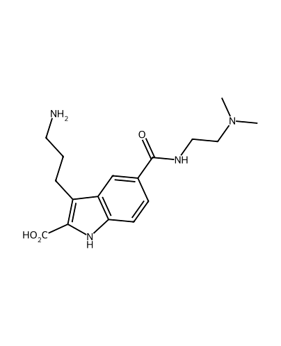 CN(C)CCNC(=O)c1ccc2[nH]c(C(=O)O)c(CCCN)c2c1